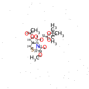 CO[C@H]1C(=O)N2C(C(=O)OCC(=O)OC(C)(C)C)=C(COC(C)=O)CSC12